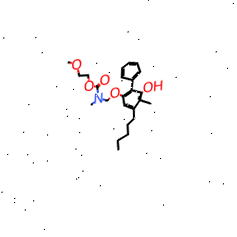 CCCCCc1cc(OCN(C)C(=O)OCCOC)c(-c2ccccc2)c(O)c1C